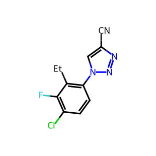 CCc1c(-n2cc(C#N)nn2)ccc(Cl)c1F